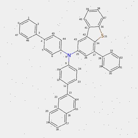 c1ccc(-c2ccc(N(c3ccc(-c4ccc5ccccc5c4)cc3)c3cc(-c4ccccc4)c4sc5ccccc5c4c3)cc2)cc1